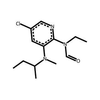 CCC(C)N(C)c1cc(Cl)cnc1N(C=O)CC